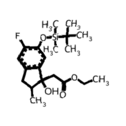 CCOC(=O)CC1(O)c2cc(O[Si](C)(C)C(C)(C)C)c(F)cc2CC1C